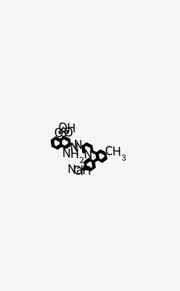 Cc1ccc(-c2ccc(Cl)cc2)c(-c2ccc(N=Nc3cc(S(=O)(=O)O)c4ccccc4c3N)cn2)c1.[NaH]